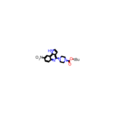 CC(C)(C)OC(=O)N1CCN(c2nc3ccc([N+](=O)[O-])cc3c3[nH]ccc23)CC1